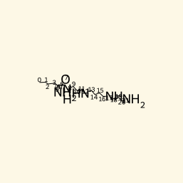 CCCC[C@H](N)C(=O)NCCCNCCCCNCCCN